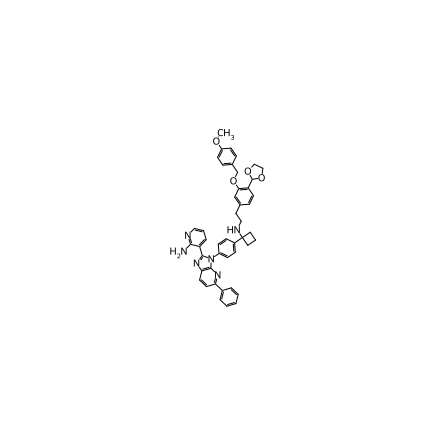 COc1ccc(COc2cc(CCNC3(c4ccc(-n5c(-c6cccnc6N)nc6ccc(-c7ccccc7)nc65)cc4)CCC3)ccc2C2OCCO2)cc1